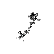 COc1cc(C(=O)NCCOCCOCCOCCNC(=O)c2ccc(Oc3ccc(Cl)cc3NS(=O)(=O)c3ccc(Cl)c(C(F)(F)F)c3)cc2)ccc1NC(=O)[C@@H]1N[C@@H](CC(C)(C)C)[C@](C#N)(c2ccc(Cl)cc2F)[C@H]1c1cccc(Cl)c1F